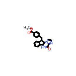 COC(=O)c1ccc(CC2c3ccccc3-c3[nH]c(=O)c4nccn4c32)cc1